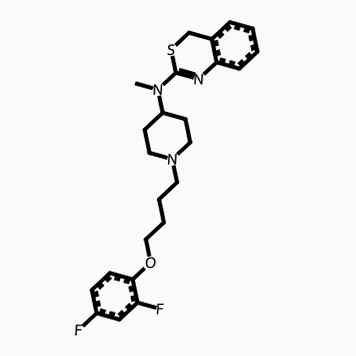 CN(C1=Nc2ccccc2CS1)C1CCN(CCCCOc2ccc(F)cc2F)CC1